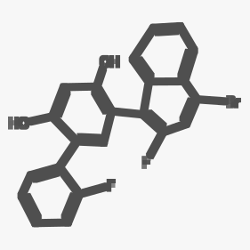 Oc1cc(O)c(-c2c(F)cc(Br)c3ccccc23)cc1-c1ccccc1F